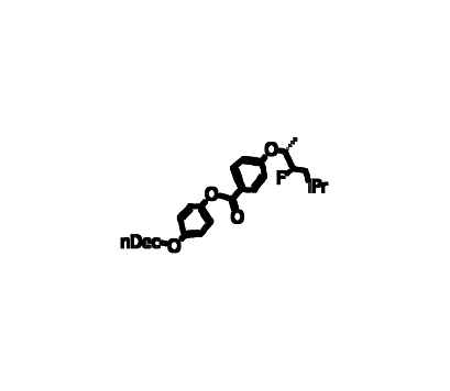 CCCCCCCCCCOc1ccc(OC(=O)c2ccc(O[C@H](C)[C@H](F)CC(C)C)cc2)cc1